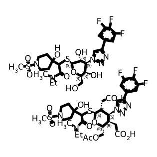 CCN(C)C(=O)C(S[C@@H]1O[C@@H](COC(C)=O)[C@H](CC(=O)O)[C@H](n2cc(-c3cc(F)c(F)c(F)c3)nn2)[C@H]1CC(=O)O)C1(O)CCN(S(C)(=O)=O)CC1.CCN(C)C(=O)C(S[C@@H]1O[C@H](CO)[C@H](O)[C@H](n2cc(-c3cc(F)c(F)c(F)c3)nn2)[C@H]1O)C1(O)CCN(S(C)(=O)=O)CC1